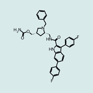 NC(=O)OC[C@H]1C[C@@H](CNC(=O)c2[nH]c3cc(-c4ccc(F)cc4)ccc3c2-c2ccc(F)cc2)N(Cc2ccccc2)C1